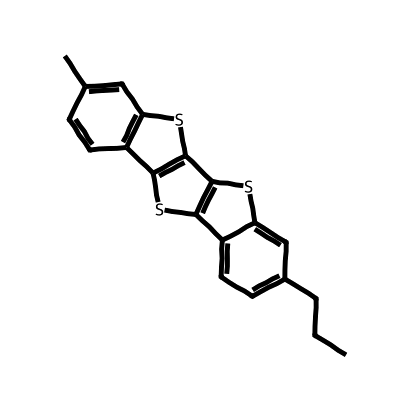 CCCc1ccc2c(c1)sc1c2sc2c3ccc(C)cc3sc21